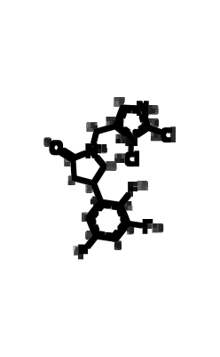 O=C1CC(c2cc(F)cc(F)c2F)CN1Cc1cnc(Cl)n1Cl